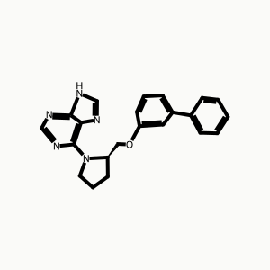 c1ccc(-c2cccc(OC[C@H]3CCCN3c3ncnc4[nH]cnc34)c2)cc1